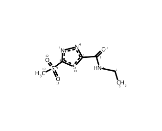 CCNC(=O)c1nnc(S(C)(=O)=O)s1